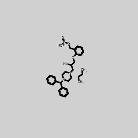 CCCC.O=[PH](O)OCc1ccccc1OCC(O)CN1CCN(C(c2ccccc2)c2ccccc2)CC1